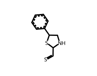 S=CC1NCC(c2ccccc2)S1